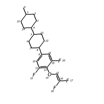 CC1CCC(C2CCC(c3cc(F)c(OC=C(F)F)c(F)c3)CC2)CC1